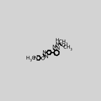 COC[C@H](C)Nc1ncc2c(n1)CCCC=C2c1ccc2ncc(OC3CCN(C)CC3)nc2c1